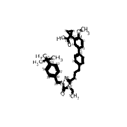 CCn1c(CCCc2ccc(-c3ccc(OC)c(C4(C(=O)O)CC4)c3)cc2)nn(Cc2ccc(C(C)(C)C)cc2)c1=O